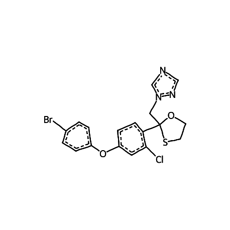 Clc1cc(Oc2ccc(Br)cc2)ccc1C1(Cn2cncn2)OCCS1